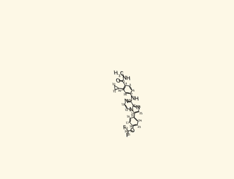 CNC(=O)c1ccc(Nc2nccn3c(-c4ccc(OC(F)F)cc4)cnc23)cc1C1CC1